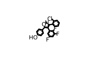 Oc1ccc(-c2onc(-c3ccccc3Cl)c2-c2cc(F)cc(F)c2F)cc1